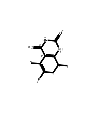 CC1=C(F)CC(C)c2[nH]c(=O)[nH]c(=O)c21